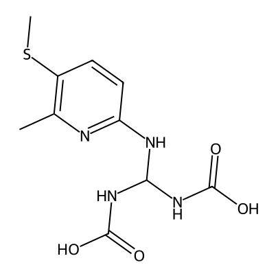 CSc1ccc(NC(NC(=O)O)NC(=O)O)nc1C